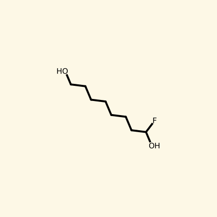 OCCCCCCCC(O)F